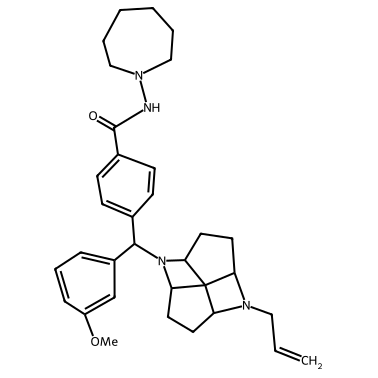 C=CCN1C2CCC3N(C(c4ccc(C(=O)NN5CCCCCC5)cc4)c4cccc(OC)c4)C4CCC1C234